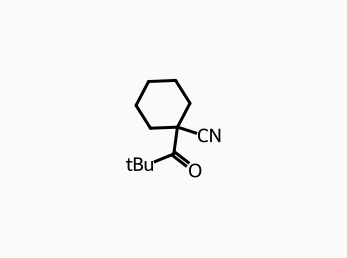 CC(C)(C)C(=O)C1(C#N)CCCCC1